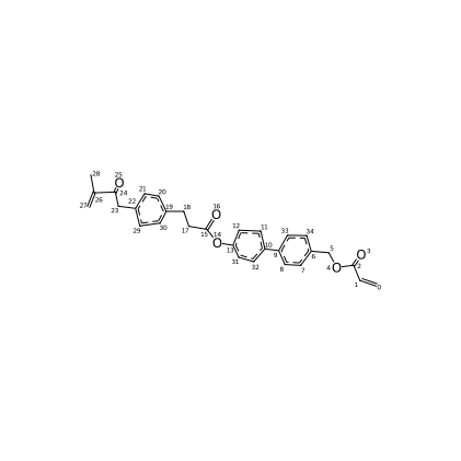 C=CC(=O)OCc1ccc(-c2ccc(OC(=O)CCc3ccc(CC(=O)C(=C)C)cc3)cc2)cc1